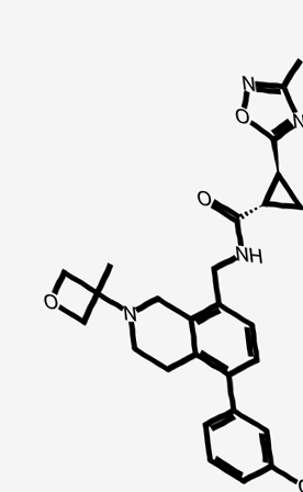 Cc1noc([C@H]2C[C@@H]2C(=O)NCc2ccc(-c3cccc(C(F)(F)F)c3)c3c2CN(C2(C)COC2)CC3)n1